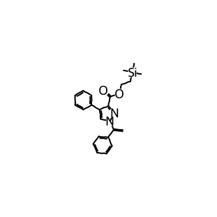 C=C(c1ccccc1)n1cc(-c2ccccc2)c(C(=O)OCC[Si](C)(C)C)n1